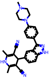 CC1=C(C#N)C(c2ccc3[nH]nc(-c4ccc(N5CCN(C)CC5)cc4)c3c2)C(C#N)=C(C)N1